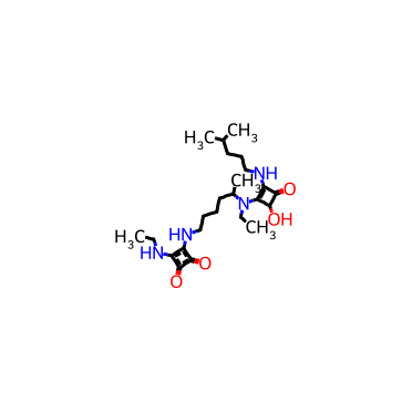 CCNc1c(NCCCCC(C)N(CC)C2=C(NCCCC(C)C)C(=O)C2O)c(=O)c1=O